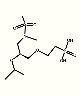 CC(C)O[C@H](COCCP(=O)(O)O)CN(C)S(C)(=O)=O